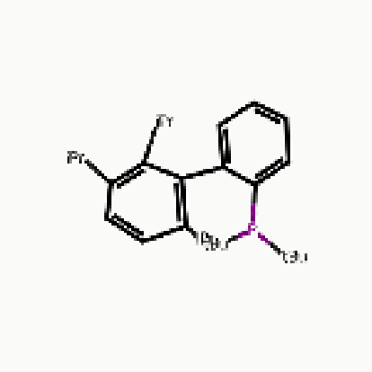 CC(C)c1ccc(C(C)C)c(C(C)C)c1-c1ccccc1P(C(C)(C)C)C(C)(C)C